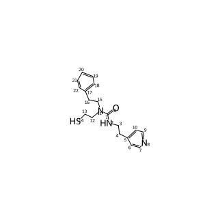 O=C(NCCc1ccncc1)N(CCS)CCc1ccccc1